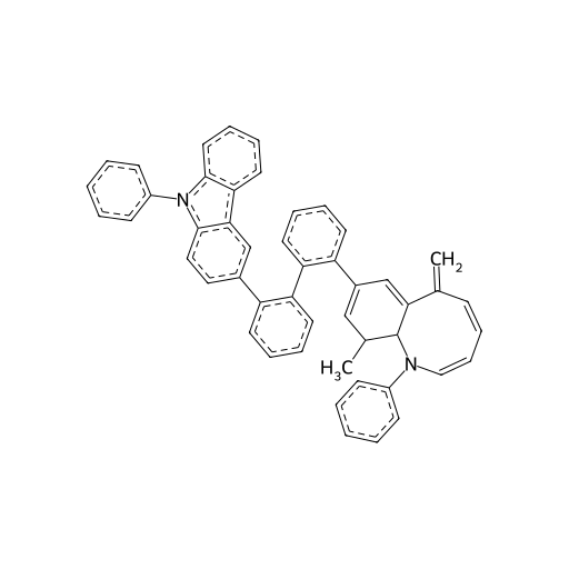 C=C1/C=C\C=C/N(c2ccccc2)C2C1=CC(c1ccccc1-c1ccccc1-c1ccc3c(c1)c1ccccc1n3-c1ccccc1)=CC2C